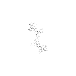 c1ccc(N(c2ccc(-c3ccc(N(c4ccccc4)c4ccc(N(c5ccccc5)c5cccc6ccccc56)cc4)cc3)cc2)c2ccc(N(c3ccccc3)c3cccc4ccccc34)cc2)cc1